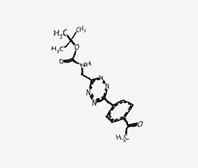 CC(=O)c1ccc(-c2nnc(CNC(=O)OC(C)(C)C)nn2)cc1